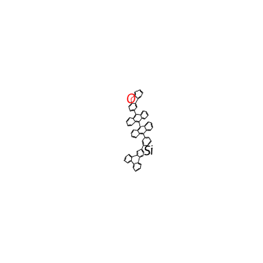 C[Si]1(C)c2ccc(-c3c4ccccc4c(-c4c5ccccc5c(-c5ccc6oc7ccccc7c6c5)c5ccccc45)c4ccccc34)cc2-c2cc3c4ccccc4c4ccccc4c3cc21